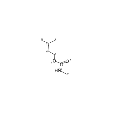 CNC(=O)OCCC(C)C